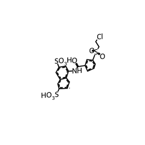 O=C(Nc1cc(S(=O)(=O)O)cc2cc(S(=O)(=O)O)[c]cc12)c1cccc(S(=O)(=O)CCCl)c1